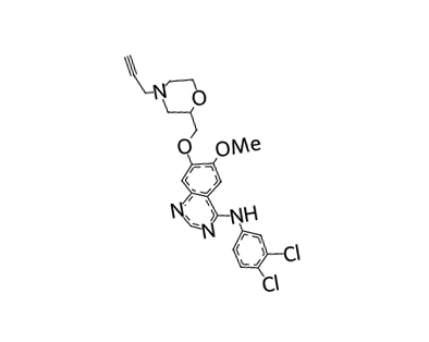 C#CCN1CCOC(COc2cc3ncnc(Nc4ccc(Cl)c(Cl)c4)c3cc2OC)C1